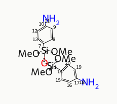 CO[Si](OC)(O[Si](OC)(OC)c1ccc(N)cc1)c1ccc(N)cc1